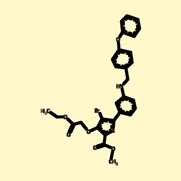 CCOC(=O)COc1c(C(=O)OC)sc(-c2cccc(NCc3ccc(Oc4ccccc4)cc3)c2)c1Br